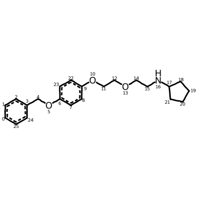 c1ccc(COc2ccc(OCCOCCNC3CCCC3)cc2)cc1